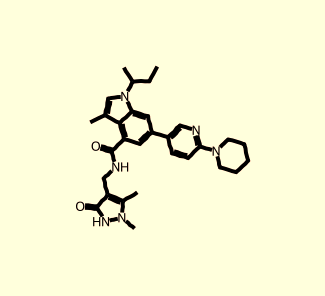 CCC(C)n1cc(C)c2c(C(=O)NCc3c(C)n(C)[nH]c3=O)cc(-c3ccc(N4CCCCC4)nc3)cc21